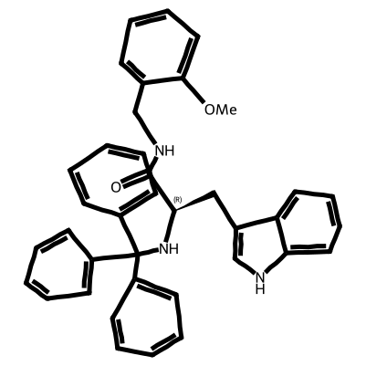 COc1ccccc1CNC(=O)[C@@H](Cc1c[nH]c2ccccc12)NC(c1ccccc1)(c1ccccc1)c1ccccc1